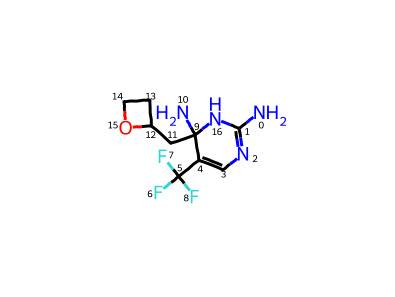 NC1=NC=C(C(F)(F)F)C(N)(CC2CCO2)N1